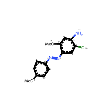 COc1ccc(N=Nc2cc(Cl)c(N)cc2OC)cc1